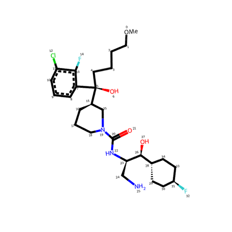 COCCCC[C@@](O)(c1cccc(Cl)c1F)[C@@H]1CCCN(C(=O)N[C@H](CN)[C@@H](O)[C@H]2CC[C@H](F)CC2)C1